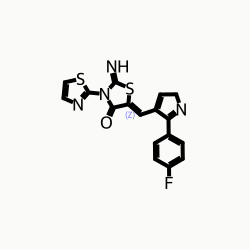 N=C1S/C(=C\C2=CCN=C2c2ccc(F)cc2)C(=O)N1c1nccs1